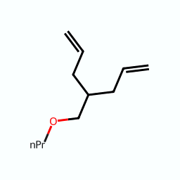 C=CCC(CC=C)COCCC